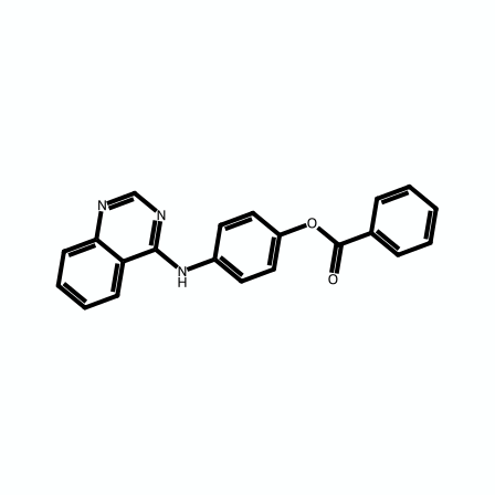 O=C(Oc1ccc(Nc2ncnc3ccccc23)cc1)c1ccccc1